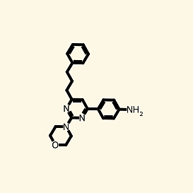 Nc1ccc(-c2cc(CCCc3ccccc3)nc(N3CCOCC3)n2)cc1